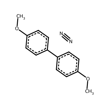 COc1ccc(-c2ccc(OC)cc2)cc1.N#N